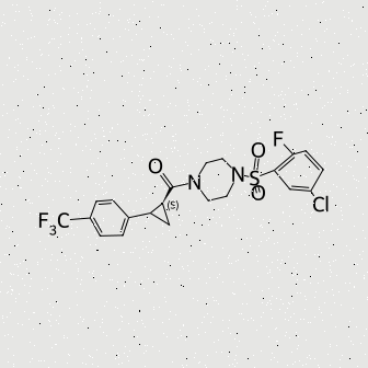 O=C([C@H]1CC1c1ccc(C(F)(F)F)cc1)N1CCN(S(=O)(=O)c2cc(Cl)ccc2F)CC1